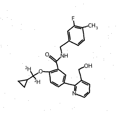 [2H]C([2H])(Oc1ccc(-c2ncccc2CO)cc1C(=O)NCc1ccc(C)c(F)c1)C1CC1